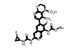 Cc1c(-c2cc3cc(NC(=O)N[C@H]4C[C@H]4F)ncc3c(NC(=O)OC(C)(C)C)c2F)cnc2c1N(C(=O)O)CCO2